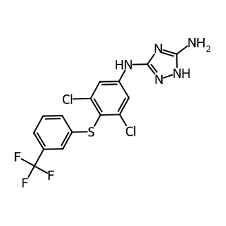 Nc1nc(Nc2cc(Cl)c(Sc3cccc(C(F)(F)F)c3)c(Cl)c2)n[nH]1